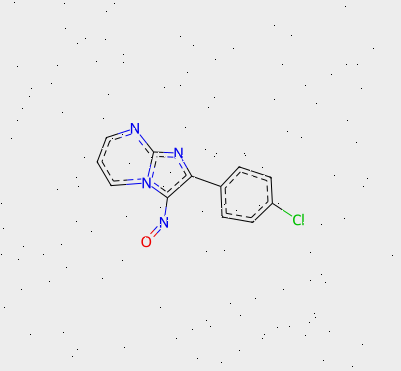 O=Nc1c(-c2ccc(Cl)cc2)nc2ncccn12